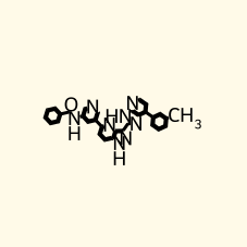 Cc1cccc(-c2ccnc3[nH]c(-c4n[nH]c5ccc(-c6cncc(NC(=O)c7ccccc7)c6)nc45)nc23)c1